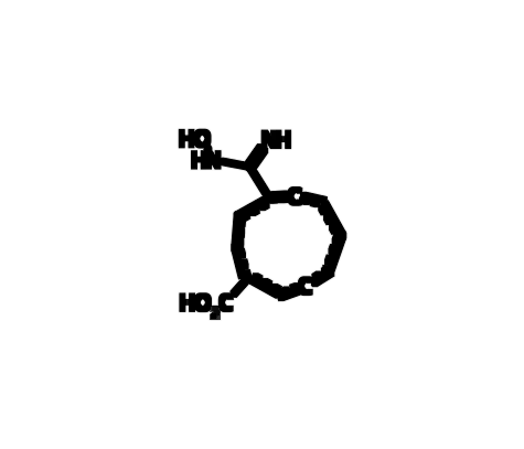 N=C(NO)c1ccccccc(C(=O)O)cc1